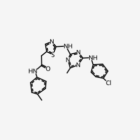 Cc1ccc(NC(=O)Cc2cnc(Nc3nc(C)nc(Nc4ccc(Cl)cc4)n3)s2)cc1